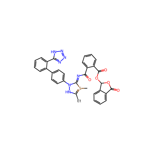 CCC1=S(C)C(=NC(=O)c2ccccc2C(=O)OC2OC(=O)c3ccccc32)N(c2ccc(-c3ccccc3-c3nnn[nH]3)cc2)N1